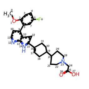 COc1ccc(F)cc1-c1ccnc2[nH]c(C3=CCC(C4CCN(CC(=O)O)CC4)CC3)cc12